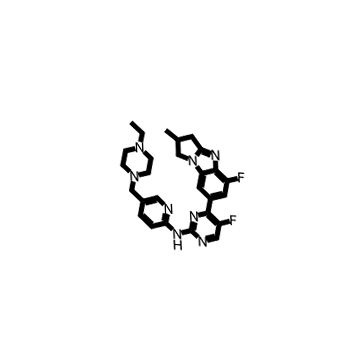 CCN1CCN(Cc2ccc(Nc3ncc(F)c(-c4cc(F)c5nc6n(c5c4)CC(C)C6)n3)nc2)CC1